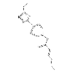 CCCC=CC(=O)Oc1ccc(-c2nnc(CC)s2)cc1